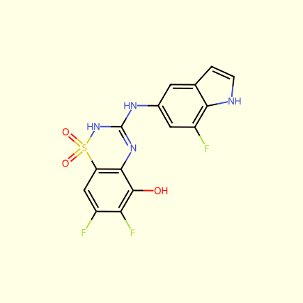 O=S1(=O)NC(Nc2cc(F)c3[nH]ccc3c2)=Nc2c1cc(F)c(F)c2O